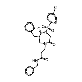 O=C(CCN1CC(Cc2ccccc2)C(=O)N(S(=O)(=O)c2ccc(Cl)cc2)CC1=O)NCc1ccccc1